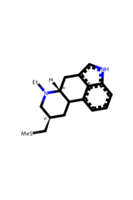 CCN1C[C@H](CSC)CC2c3cccc4[nH]cc(c34)C[C@H]21